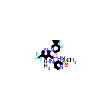 Cc1c(C(F)(F)F)cnc(N2CCC(F)(F)C3(CC3)C2)c1C(=O)Nc1ccnc([S@](C)(=N)=O)c1